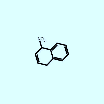 O=[N+]([O-])C1C=C[CH]c2ccccc21